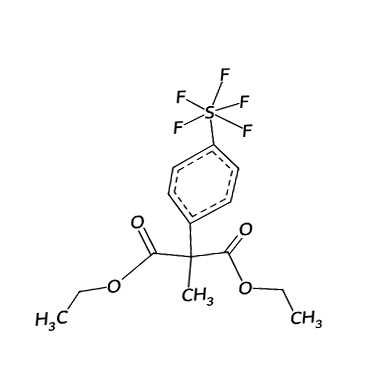 CCOC(=O)C(C)(C(=O)OCC)c1ccc(S(F)(F)(F)(F)F)cc1